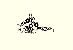 COC(=O)c1ccc2c(c1)/C(=C(/Nc1ccc(N(C)C(=O)CN3CCN(C)CC3)cc1)c1ccc(O[Si](C)(C)C(C)(C)C)cc1)C(=O)N2